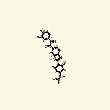 CC(=O)Nc1cc(C)c(-c2nc3ccc(C(=O)Nc4ccc(C)c(C)c4)cc3[nH]2)c(C)c1